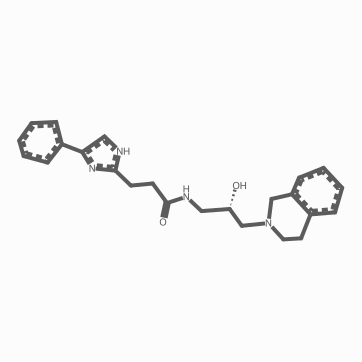 O=C(CCc1nc(-c2ccccc2)c[nH]1)NC[C@H](O)CN1CCc2ccccc2C1